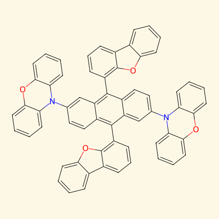 c1ccc2c(c1)Oc1ccccc1N2c1ccc2c(-c3cccc4c3oc3ccccc34)c3cc(N4c5ccccc5Oc5ccccc54)ccc3c(-c3cccc4c3oc3ccccc34)c2c1